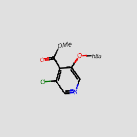 CCCCOc1cncc(Cl)c1C(=O)OC